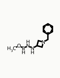 COBNNC1CN(Cc2ccccc2)C1